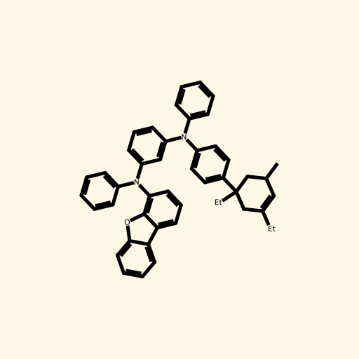 CCC1=CC(C)CC(CC)(c2ccc(N(c3ccccc3)c3cccc(N(c4ccccc4)c4cccc5c4oc4ccccc45)c3)cc2)C1